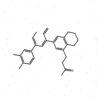 C=C/C(=C\C(=C/C)c1ccc(C)c(C)c1)c1cc2c(c(CCC(C)=O)c1)CCCC2